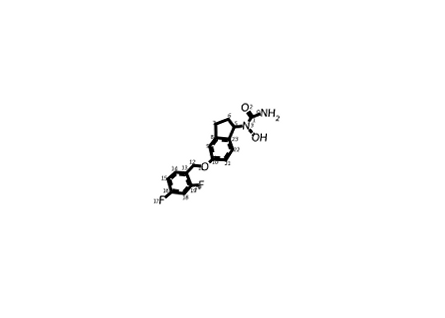 NC(=O)N(O)C1CCc2cc(OCc3ccc(F)cc3F)ccc21